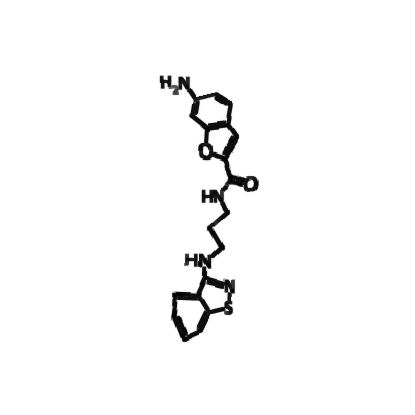 Nc1ccc2cc(C(=O)NCCCNc3nsc4ccccc34)oc2c1